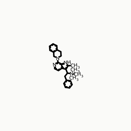 Cc1[nH]c2c(N3CCc4ccccc4C3)nccc2c1C(Cc1ccccc1)[N+](C)(C)C